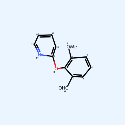 COc1cccc(C=O)c1Oc1ccccn1